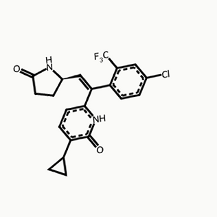 O=C1CC[C@H](/C=C(\c2ccc(C3CC3)c(=O)[nH]2)c2ccc(Cl)cc2C(F)(F)F)N1